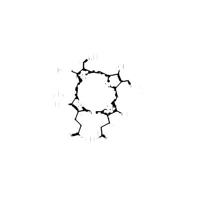 C=CC1=C(C)c2cc3[nH]c(cc4nc(cc5[nH]c(cc1n2)c(C)c5CCC(=O)O)C(CCC(=O)O)=C4C)c(C)c3C=C.[InH3]